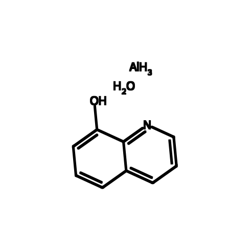 O.Oc1cccc2cccnc12.[AlH3]